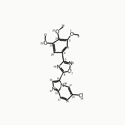 COc1cc(-c2noc(-c3cnc4ccc(Cl)cn34)n2)cc(OC)c1OC